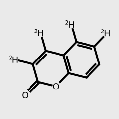 [2H]c1ccc2oc(=O)c([2H])c([2H])c2c1[2H]